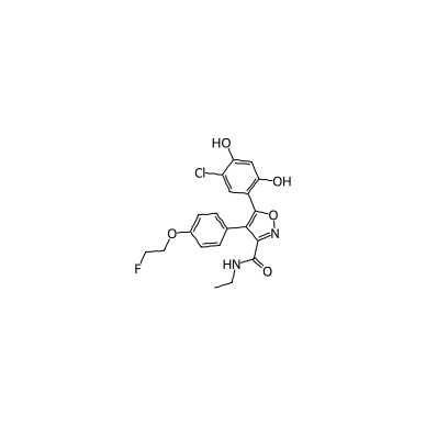 CCNC(=O)c1noc(-c2cc(Cl)c(O)cc2O)c1-c1ccc(OCCF)cc1